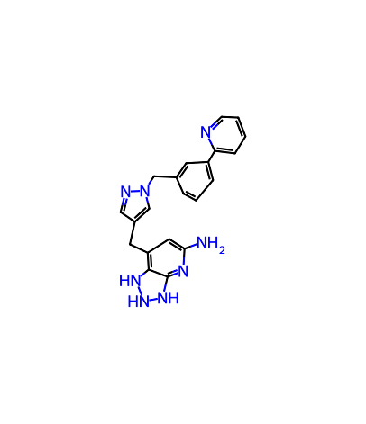 Nc1cc(Cc2cnn(Cc3cccc(-c4ccccn4)c3)c2)c2c(n1)NNN2